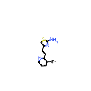 CC(C)c1cccnc1/C=C/c1csc(N)n1